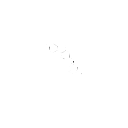 Cc1cc(N[C@@H]2C[C@@H](F)CN(C(C)C)C2)nnc1-c1ccc(F)cc1